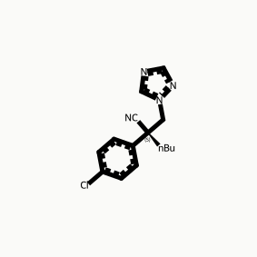 CCCC[C@@](C#N)(Cn1cncn1)c1ccc(Cl)cc1